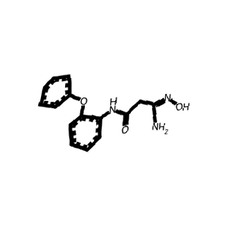 N/C(CC(=O)Nc1ccccc1Oc1ccccc1)=N\O